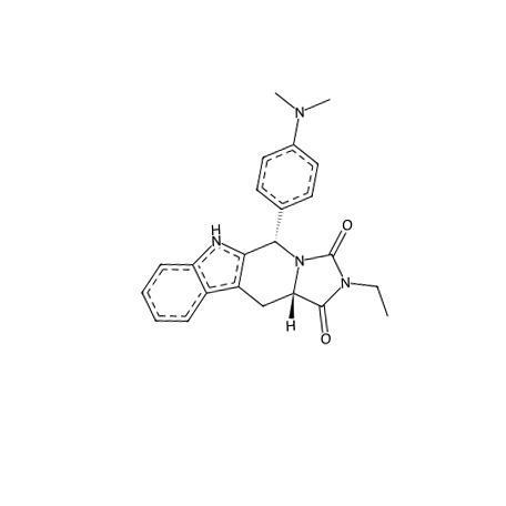 CCN1C(=O)[C@@H]2Cc3c([nH]c4ccccc34)[C@H](c3ccc(N(C)C)cc3)N2C1=O